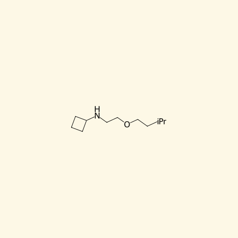 CC(C)CCOCCNC1CCC1